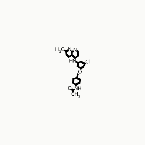 CC(=O)Nc1ccc(COc2cc(Cl)cc(Nc3ccnc4nc(C)ccc34)c2)cc1